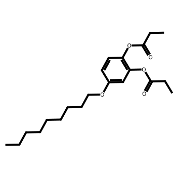 CCCCCCCCCOc1ccc(OC(=O)CC)c(OC(=O)CC)c1